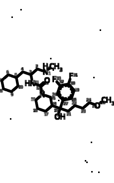 CNCC(CC1CCCCC1)NC(=O)N1CCCC(C(O)(CCCCOC)c2ccc(F)c(F)c2)C1